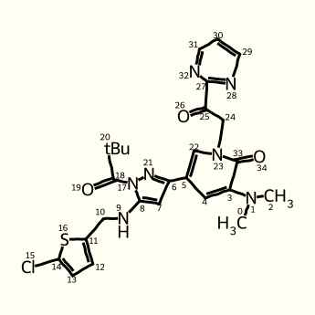 CN(C)c1cc(-c2cc(NCc3ccc(Cl)s3)n(C(=O)C(C)(C)C)n2)cn(CC(=O)c2ncccn2)c1=O